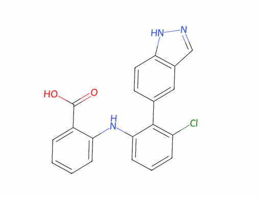 O=C(O)c1ccccc1Nc1cccc(Cl)c1-c1ccc2[nH]ncc2c1